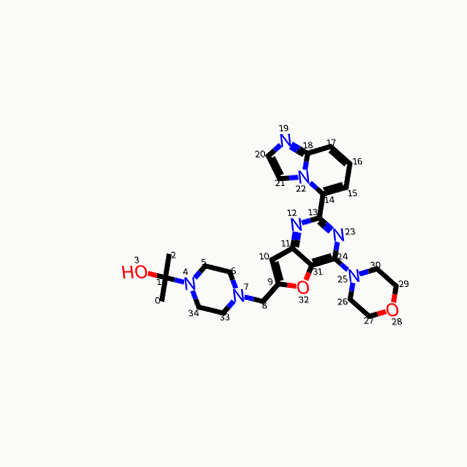 CC(C)(O)N1CCN(Cc2cc3nc(-c4cccc5nccn45)nc(N4CCOCC4)c3o2)CC1